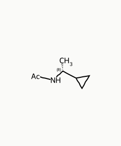 CC(=O)N[C@H](C)C1CC1